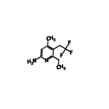 CCc1nc(N)cc(C)c1CC(F)(F)F